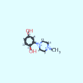 CN1CCN(c2cc(O)ccc2O)CC1